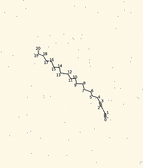 [C]#CC#CCCCCCCCCCCCCCCCCC